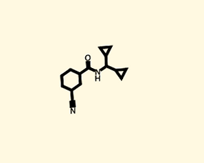 N#CC1CCCC(C(=O)NC(C2CC2)C2CC2)C1